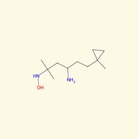 CC1(CCC(N)CC(C)(C)NO)CC1